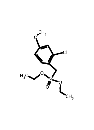 CCOP(=O)(Cc1ccc(OC)cc1Cl)OCC